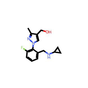 Cc1nn(-c2c(F)cccc2CNC2CC2)cc1CO